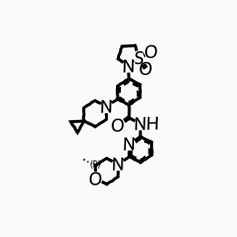 C[C@@H]1CN(c2cccc(NC(=O)c3ccc(N4CCCS4(=O)=O)cc3N3CCC4(CC3)CC4)n2)CCO1